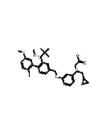 COc1ccc(F)c(-c2ccc(COc3cccc([C@@H](CC(=O)O)CC4CC4)c3)cc2[C@H](OC)C(C)(C)C)c1